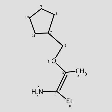 CC/C(N)=C(\C)OCC1CCCC1